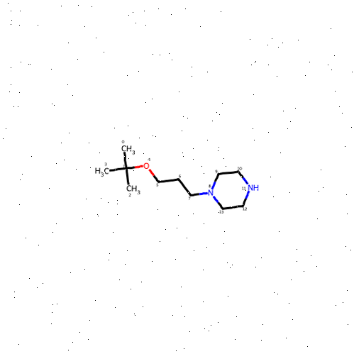 CC(C)(C)OCCCN1CCNCC1